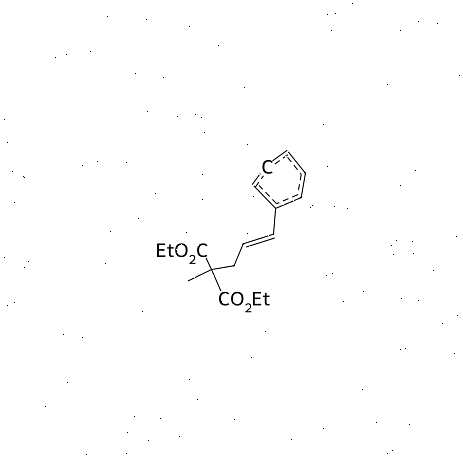 CCOC(=O)C(C)(CC=Cc1ccccc1)C(=O)OCC